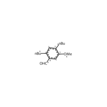 CCCCc1cc(CCCC)c(OC)cc1C=O